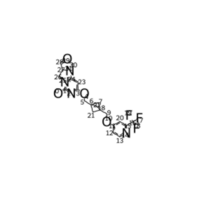 O=c1nc(OCC23CC(COc4ccnc(C(F)(F)F)c4)(C2)C3)cc2n1CC1COCN21